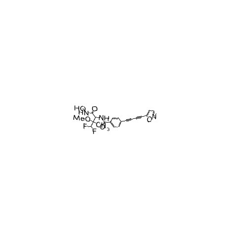 COC(C)(C(F)F)C(NC(=O)c1ccc(C#CC#Cc2ccno2)cc1)C(=O)NO